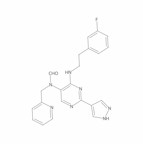 O=CN(Cc1ccccn1)c1cnc(-c2cn[nH]c2)nc1NCCc1cccc(F)c1